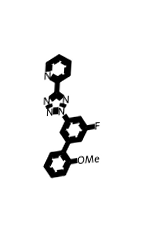 COc1ccccc1-c1cc(F)cc(-n2nnc(-c3ccccn3)n2)c1